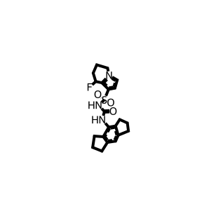 O=C(Nc1c2c(cc3c1CCC3)CCC2)NS(=O)(=O)c1ccn2c1C(F)CCC2